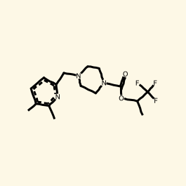 Cc1ccc(CN2CCN(C(=O)OC(C)C(F)(F)F)CC2)nc1C